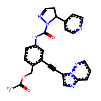 O=C(Nc1ccc(COC(=O)C(F)(F)F)c(C#Cc2cnc3cccnn23)c1)N1N=CCC1c1ccncc1